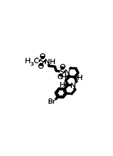 CS(=O)(=O)NCCCS(=O)(=O)N1CCC[C@H]2CN3CCc4cc(Br)ccc4[C@@H]3C[C@H]21